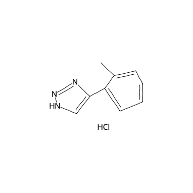 Cc1ccccc1-c1c[nH]nn1.Cl